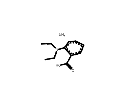 CCN(CC)c1ccccc1C(=O)O.N